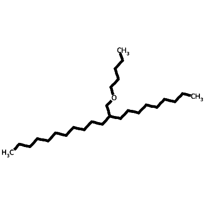 CCCCCCCCCCCC(CCCCCCCCC)COCCCCC